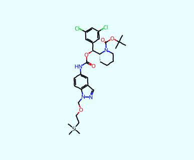 CC(C)(C)OC(=O)N1CCCC[C@@H]1[C@@H](OC(=O)Nc1ccc2c(cnn2COCC[Si](C)(C)C)c1)c1cc(Cl)cc(Cl)c1